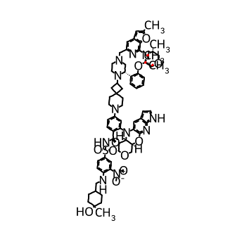 Cc1cc2cc(CN3CCN(C4CC5(CCN(c6ccc(C(=O)NS(=O)(=O)c7ccc(NCC8CCC(C)(O)CC8)c([N+](=O)[O-])c7)c(N7c8cc9cc[nH]c9nc8O[C@H]8COCC[C@@H]87)c6)CC5)C4)[C@@H](c4ccccc4OC(C)C)C3)nc(N3CCOC[C@H]3C)c2o1